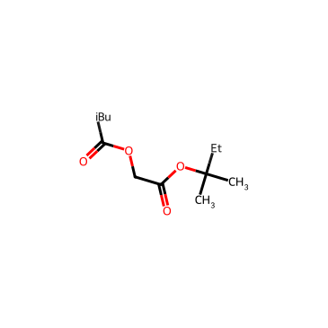 CCC(C)C(=O)OCC(=O)OC(C)(C)CC